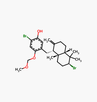 C=C1CC[C@@H]2C(C)(C)[C@@H](Br)CC[C@]2(C)[C@@H]1Cc1cc(O)c(Br)cc1OCOC